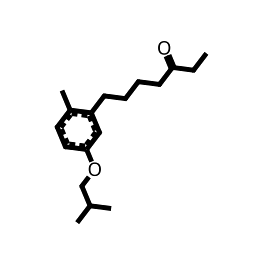 CCC(=O)CCCCc1cc(OCC(C)C)ccc1C